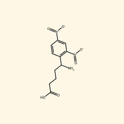 NC(CCCC(=O)O)c1ccc([N+](=O)[O-])cc1[N+](=O)[O-]